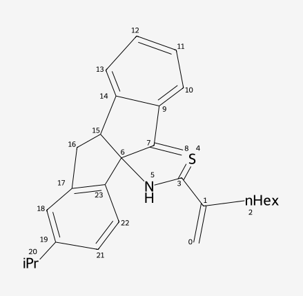 C=C(CCCCCC)C(=S)NC12C(=C)c3ccccc3C1Cc1cc(C(C)C)ccc12